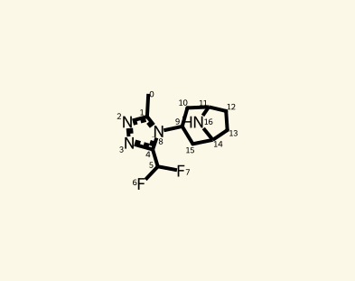 Cc1nnc(C(F)F)n1C1CC2CCC(C1)N2